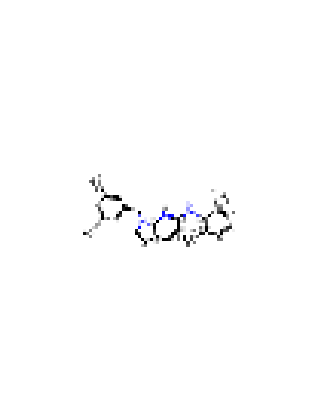 Cc1cc(C)cc(Cn2ccc3ccc(Nc4c(C)cccc4C)nc32)c1